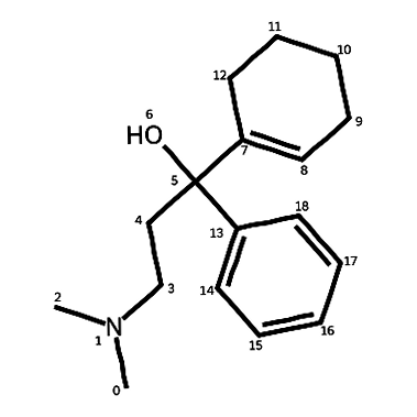 CN(C)CCC(O)(C1=CCCCC1)c1ccccc1